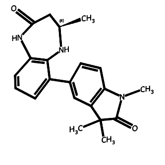 C[C@@H]1CC(=O)Nc2cccc(-c3ccc4c(c3)C(C)(C)C(=O)N4C)c2N1